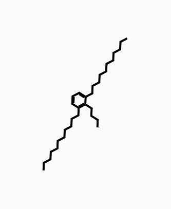 [CH2]CCCc1c(CCCCCCCCCCC)cccc1CCCCCCCCCCC